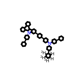 [2H]c1c([2H])c([2H])c(-c2ccc(N(c3ccc(-c4ccccc4)cc3)c3ccc(-c4ccc(-c5ccc6c7c8ccccc8c8ccccc8c7n(-c7ccc(-c8ccccc8)cc7)c6c5)cc4)cc3)cc2)c([2H])c1[2H]